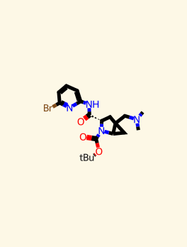 CN(C)CC12CC1N(C(=O)OC(C)(C)C)[C@H](C(=O)Nc1cccc(Br)n1)C2